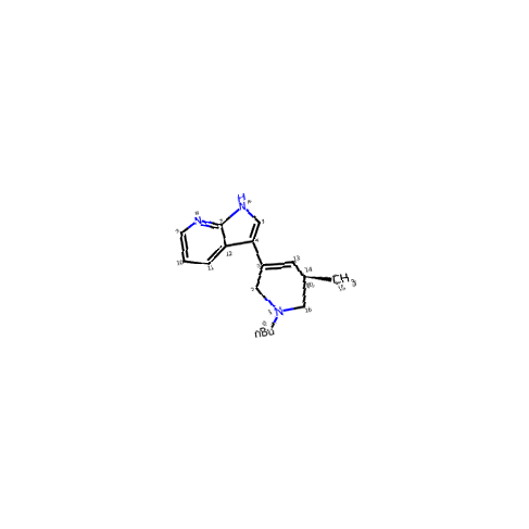 CCCCN1CC(c2c[nH]c3ncccc23)=C[C@@H](C)C1